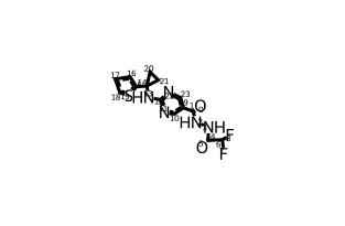 O=C(NNC(=O)C(F)F)c1cnc(NC2(c3cccs3)CC2)nc1